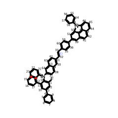 Fc1cc(-c2ccccc2)cc(-c2ccccc2)c1N(c1ccccc1)c1ccc2cc(/C=C/c3ccc(-c4cc5ccc6cccc7c6c5c(c4)n7-c4ccccc4)cc3)ccc2c1